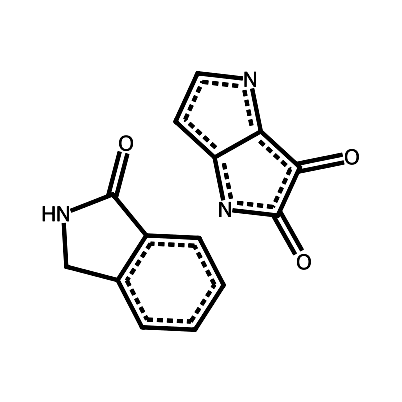 O=C1NCc2ccccc21.O=c1nc2ccnc-2c1=O